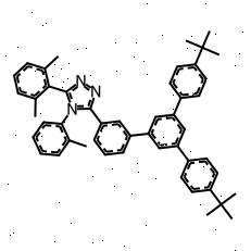 Cc1ccccc1-n1c(-c2cccc(-c3cc(-c4ccc(C(C)(C)C)cc4)cc(-c4ccc(C(C)(C)C)cc4)c3)c2)nnc1-c1c(C)cccc1C